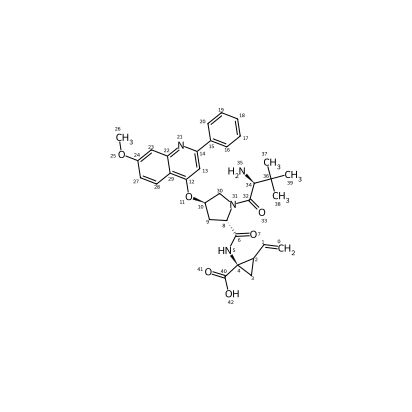 C=CC1C[C@]1(NC(=O)[C@@H]1C[C@@H](Oc2cc(-c3ccccc3)nc3cc(OC)ccc23)CN1C(=O)[C@@H](N)C(C)(C)C)C(=O)O